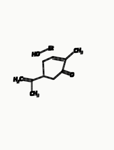 C=C(C)C1CC=C(C)C(=O)C1.CCO